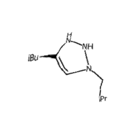 CC[C@H](C)C1=CN(CC(C)C)NN1